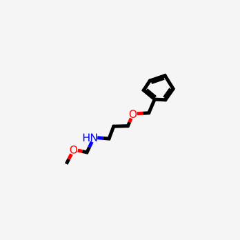 COCNCCCOCc1ccccc1